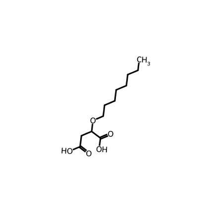 CCCCCCCCOC(CC(=O)O)C(=O)O